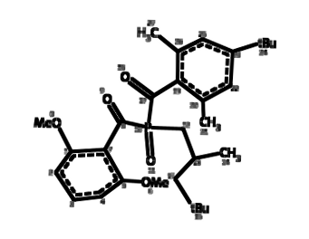 COc1cccc(OC)c1C(=O)P(=O)(CC(C)CC(C)(C)C)C(=O)c1c(C)cc(C(C)(C)C)cc1C